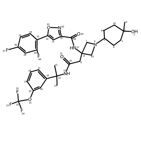 CC1(O)CCC(N2CC(CC(=O)NC(C)(C)c3cccc(OC(F)(F)F)c3)(NC(=O)c3cc(-c4ccc(F)cc4F)on3)C2)CC1